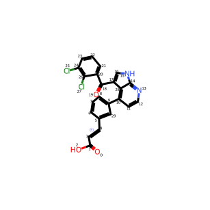 O=C(O)/C=C/c1cccc(-c2ccnc3[nH]cc(C(=O)c4cccc(Cl)c4Cl)c23)c1